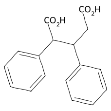 O=C(O)CC(c1ccccc1)C(C(=O)O)c1ccccc1